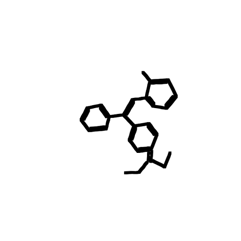 CCNCC.Cc1ccccc1C=C(c1ccccc1)c1ccccc1